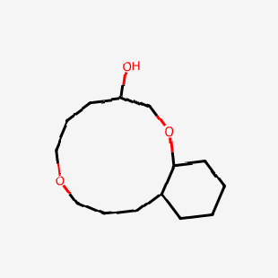 OC1CCCOCCCC2CCCCC2OC1